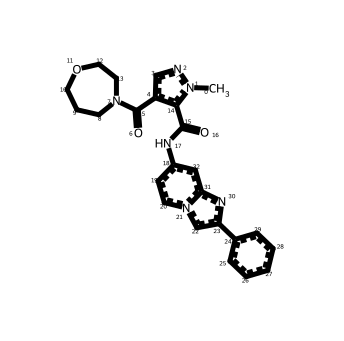 Cn1ncc(C(=O)N2CCCOCC2)c1C(=O)Nc1ccn2cc(-c3ccccc3)nc2c1